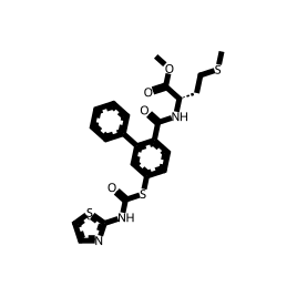 COC(=O)[C@H](CCSC)NC(=O)c1ccc(SC(=O)Nc2nccs2)cc1-c1ccccc1